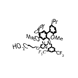 COc1cc(CN(Cc2cc(C(F)(F)F)cc(C(F)(F)F)c2)c2ncc(OCCCC(=O)O)cn2)c(-c2cc(C(C)C)ccc2OC)cc1OC(C)C